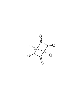 O=C1C(Cl)[C@@]2(Cl)C(=O)C(Cl)C12Cl